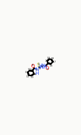 O=C(NNC(=S)NC(=O)c1ccccc1)c1ccccc1